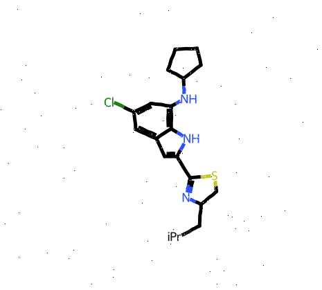 CC(C)CC1CSC(c2cc3cc(Cl)cc(NC4CCCC4)c3[nH]2)=N1